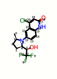 C[C@@H]1CC[C@H]([C@@H](O)C(F)(F)F)N1c1ccc2[nH]c(=O)cc(Cl)c2c1